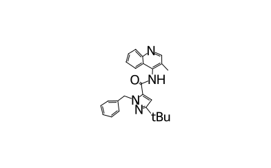 Cc1cnc2ccccc2c1NC(=O)c1cc(C(C)(C)C)nn1Cc1ccccc1